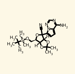 CC1(C)O[C@H]2[C@@H](O1)C(C#N)(c1ccc3c(N)ncnn13)O[C@@H]2CO[Si](C)(C)C(C)(C)C